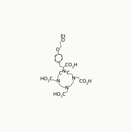 CCOCCOc1ccc(CC(C(=O)O)N2CCN(CC(=O)O)CCN(CC(=O)O)CCN(CC(=O)O)CC2)cc1